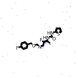 O=C(N/C(I)=C(F)/C=N\COCc1ccc(F)cc1)Nc1cccs1